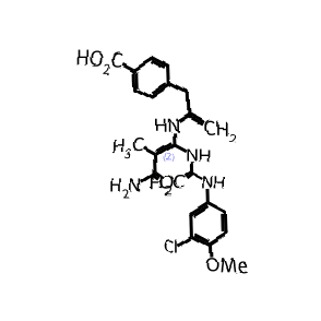 C=C(Cc1ccc(C(=O)O)cc1)N/C(NC(=C)Nc1ccc(OC)c(Cl)c1)=C(\C)C(N)=O